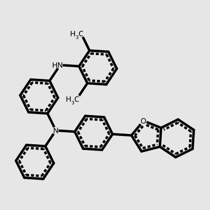 Cc1cccc(C)c1Nc1cccc(N(c2ccccc2)c2ccc(-c3cc4ccccc4o3)cc2)c1